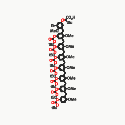 CCc1cc(OC(C(=O)O)C(C)(C)C)cc(Cc2cc(OC(=O)OC(C)(C)C)cc(Cc3cc(OC(=O)OC(C)(C)C)cc(Cc4cc(OC(=O)OC(C)(C)C)cc(Cc5cc(OC(=O)OC(C)(C)C)cc(Cc6cc(OC(=O)OC(C)(C)C)cc(Cc7cc(OC(=O)OC(C)(C)C)cc(Cc8cc(OC(=O)OC(C)(C)C)ccc8OC)c7OC)c6OC)c5OC)c4OC)c3OC)c2OC)c1OC